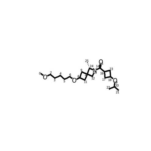 COCCCCCOC1CC2(C1)CN(C(=O)C1CC(OC(C)C)C1)[C@H]2C